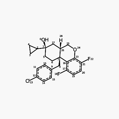 O[C@]1(C2CC2)CC[C@@]2(Cc3ccc(Cl)cc3)c3c(F)ccc(F)c3OC[C@H]2C1